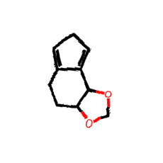 C1=C2CCC3OCOC3C2=CC1